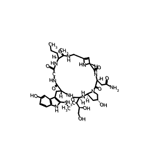 CC[C@H](C)[C@@H]1NC(=O)CNC(=O)[C@@H](Cc2c(SC)[nH]c3ccc(O)cc23)NC(=O)[C@H]([C@@H](C)[C@@H](O)CO)N[C@@H]2C[C@@H](O)CN2C(=O)[C@H](CC(N)=O)NC(=O)[C@H]2C=C(CNC1=O)N2